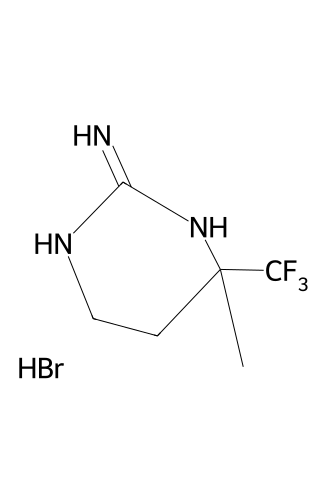 Br.CC1(C(F)(F)F)CCNC(=N)N1